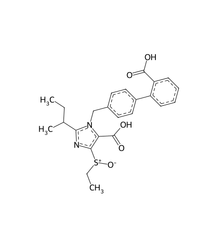 CCC(C)c1nc([S+]([O-])CC)c(C(=O)O)n1Cc1ccc(-c2ccccc2C(=O)O)cc1